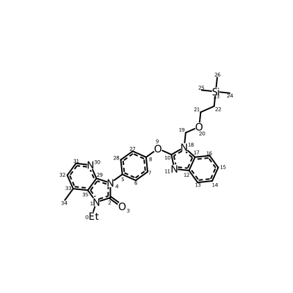 CCn1c(=O)n(-c2ccc(Oc3nc4ccccc4n3COCC[Si](C)(C)C)cc2)c2nccc(C)c21